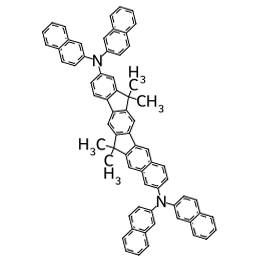 CC1(C)c2cc(N(c3ccc4ccccc4c3)c3ccc4ccccc4c3)ccc2-c2cc3c(cc21)-c1cc2ccc(N(c4ccc5ccccc5c4)c4ccc5ccccc5c4)cc2cc1C3(C)C